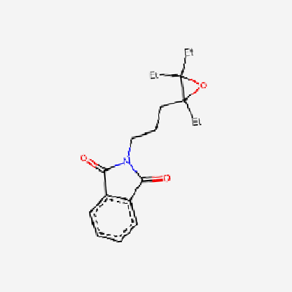 CCC1(CC)OC1(CC)CCCN1C(=O)c2ccccc2C1=O